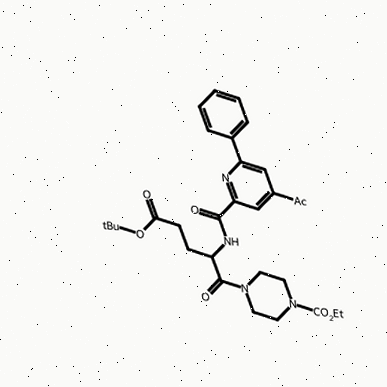 CCOC(=O)N1CCN(C(=O)C(CCC(=O)OC(C)(C)C)NC(=O)c2cc(C(C)=O)cc(-c3ccccc3)n2)CC1